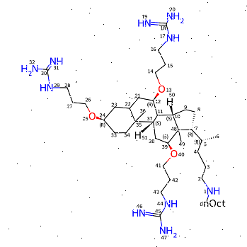 CCCCCCCCNCCC[C@@H](C)[C@H]1CC[C@H]2C3[C@H](OCCCNC(=N)N)CC4C[C@H](OCCCNC(=N)N)CCC4(C)[C@H]3C[C@H](OCCCNC(=N)N)C12C